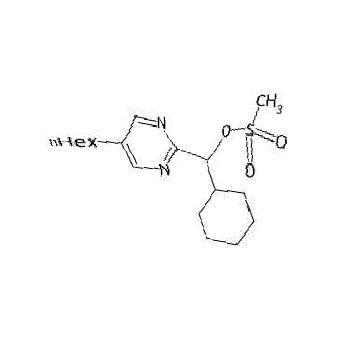 CCCCCCc1cnc(C(OS(C)(=O)=O)C2CCCCC2)nc1